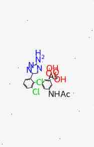 CC(=O)Nc1cccc([As](=O)(O)OO)c1.Nc1ncc(-c2cccc(Cl)c2Cl)nn1